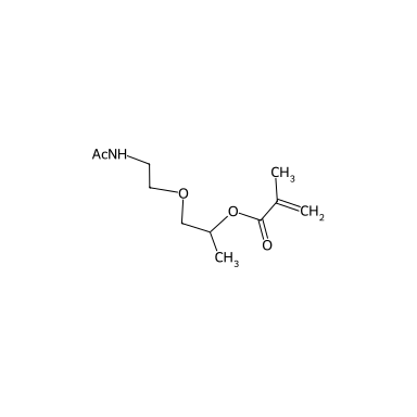 C=C(C)C(=O)OC(C)COCCNC(C)=O